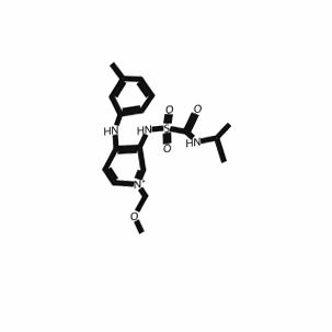 COC[n+]1ccc(Nc2cccc(C)c2)c(NS(=O)(=O)C(=O)NC(C)C)c1